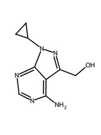 Nc1ncnc2c1c(CO)nn2C1CC1